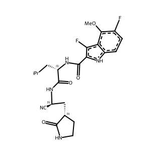 COc1c(F)ccc2[nH]c(C(=O)N[C@@H](CC(C)C)C(=O)N[C@H](C#N)C[C@@H]3CCNC3=O)c(F)c12